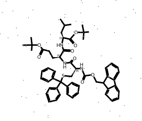 CC(C)C[C@H](NC(=O)[C@H](CCC(=O)OC(C)(C)C)NC(=O)[C@H](CSC(c1ccccc1)(c1ccccc1)c1ccccc1)NC(=O)OCC1c2ccccc2-c2ccccc21)C(=O)OC(C)(C)C